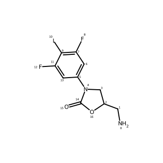 NCC1CN(c2cc(F)c(I)c(F)c2)C(=O)O1